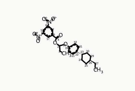 CCC(OC(=O)c1cc([N+](=O)[O-])cc([N+](=O)[O-])c1)Oc1ccc([C@H]2CC[C@H](CC)CC2)cc1